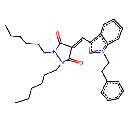 CCCCCCN1C(=O)C(=Cc2cn(CCc3ccccc3)c3ccccc23)C(=O)N1CCCCCC